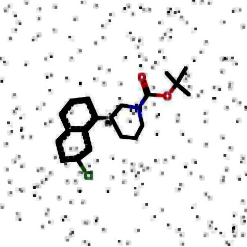 CC(C)(C)OC(=O)N1CCC[C@H](c2cccc3ccc(Cl)cc23)C1